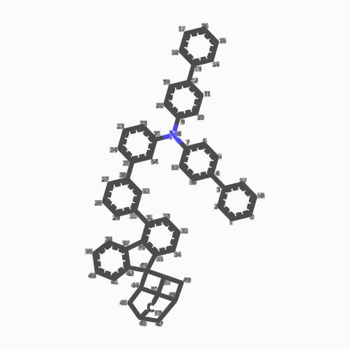 c1ccc(-c2ccc(N(c3ccc(-c4ccccc4)cc3)c3cccc(-c4cccc(-c5cccc6c5-c5ccccc5C65C6CC7CC8CC5C86C7)c4)c3)cc2)cc1